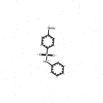 CC(=O)Nc1ccc(S(=O)(=O)Nc2ccccc2)cc1